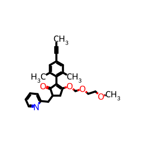 CC#Cc1cc(C)c(C2=C(OCOCCOC)CC(Cc3ccccn3)C2=O)c(C)c1